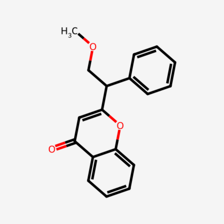 COCC(c1ccccc1)c1cc(=O)c2ccccc2o1